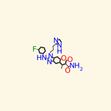 Cc1c(C(N)=O)c(=O)oc2cc3c(cc12)nc(Nc1cccc(F)c1)n3CCCc1ncc[nH]1